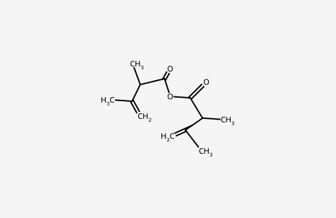 C=C(C)C(C)C(=O)OC(=O)C(C)C(=C)C